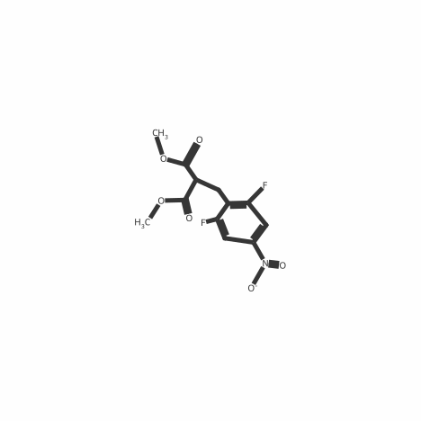 COC(=O)C(Cc1c(F)cc([N+](=O)[O-])cc1F)C(=O)OC